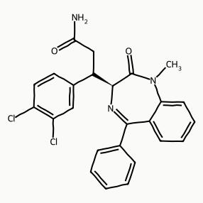 CN1C(=O)[C@H](C(CC(N)=O)c2ccc(Cl)c(Cl)c2)N=C(c2ccccc2)c2ccccc21